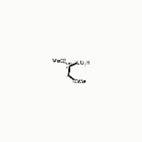 COC[C@H](OC)C(=O)O